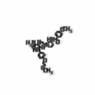 COCCOc1ccc(Nc2nc(N3CCCC(NC(=O)c4ccc(OC)cc4)C3)cnc2C(N)=O)cc1